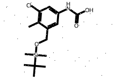 Cc1c(Cl)cc(NC(=O)O)cc1CO[Si](C)(C)C(C)(C)C